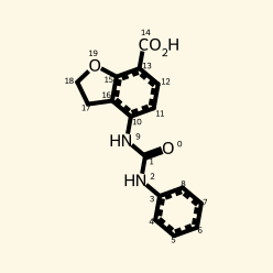 O=C(Nc1ccccc1)Nc1ccc(C(=O)O)c2c1CCO2